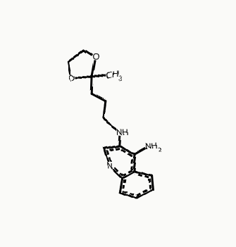 CC1(CCCNc2cnc3ccccc3c2N)OCCO1